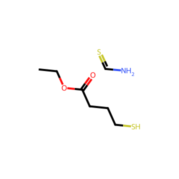 CCOC(=O)CCCS.NC=S